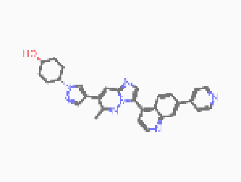 Cc1nn2c(-c3ccnc4cc(-c5ccncc5)ccc34)cnc2cc1-c1cnn([C@H]2CC[C@H](O)CC2)c1